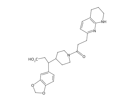 O=C(O)CC(c1ccc2c(c1)OCO2)C1CCN(C(=O)CCc2ccc3c(n2)NCCC3)CC1